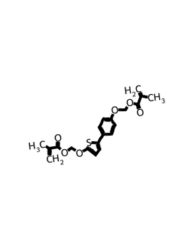 C=C(C)C(=O)OCOc1ccc(-c2ccc(OCOC(=O)C(=C)C)s2)cc1